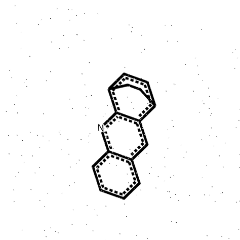 c1ccc2nc3c4ccc(c3cc2c1)CC4